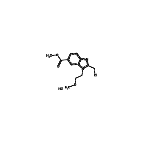 COCCn1c(CCl)nc2ccc(C(=O)OC)cc21.Cl